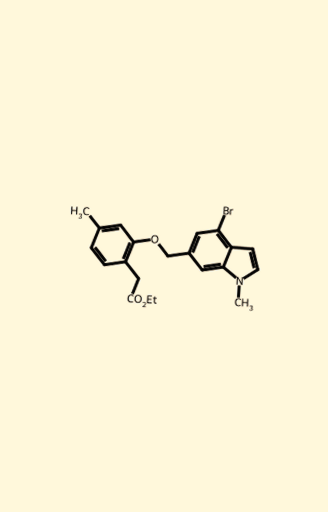 CCOC(=O)Cc1ccc(C)cc1OCc1cc(Br)c2ccn(C)c2c1